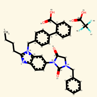 CCCCc1nc2ccc(N3C(=O)CN(Cc4ccccc4)C3=O)cc2n1Cc1ccc(-c2ccccc2C(=O)O)cc1.O=C(O)C(F)(F)F